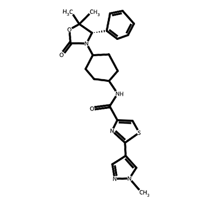 Cn1cc(-c2nc(C(=O)NC3CCC(N4C(=O)OC(C)(C)[C@@H]4c4ccccc4)CC3)cs2)cn1